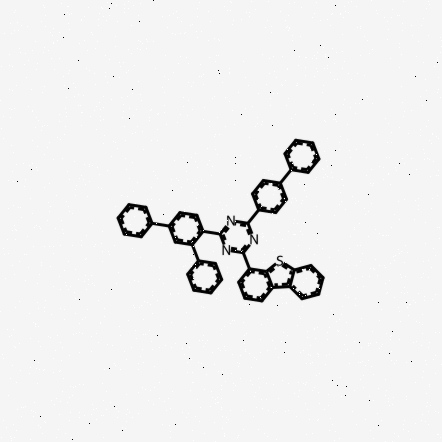 c1ccc(-c2ccc(-c3nc(-c4ccc(-c5ccccc5)cc4-c4ccccc4)nc(-c4cccc5c4sc4ccccc45)n3)cc2)cc1